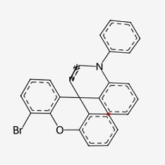 Brc1cccc2c1Oc1ccccc1C21c2ccccc2N(c2ccccc2)c2ccccc21